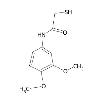 COc1ccc(NC(=O)CS)cc1OC